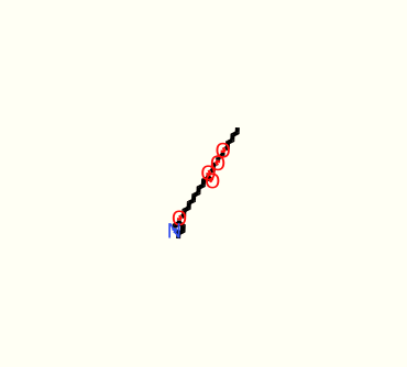 CCCCCCOCCOCCOC(=O)CCCCCCCCCCOc1ccc(C)nc1